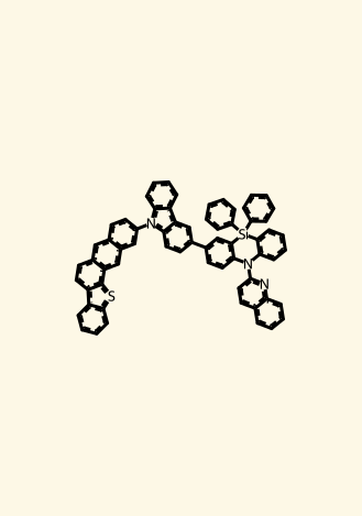 c1ccc([Si]2(c3ccccc3)c3ccccc3N(c3ccc4ccccc4n3)c3ccc(-c4ccc5c(c4)c4ccccc4n5-c4ccc5cc6ccc7c8ccccc8sc7c6cc5c4)cc32)cc1